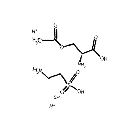 CC(=O)OC[C@H](N)C(=O)O.NCCS(=O)(=O)O.[H+].[H+].[S-2]